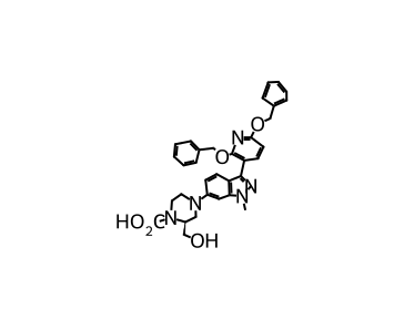 Cn1nc(-c2ccc(OCc3ccccc3)nc2OCc2ccccc2)c2ccc(N3CCN(C(=O)O)[C@H](CO)C3)cc21